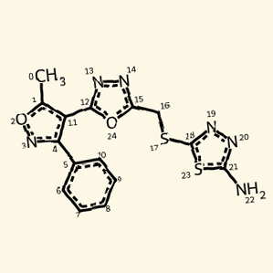 Cc1onc(-c2ccccc2)c1-c1nnc(CSc2nnc(N)s2)o1